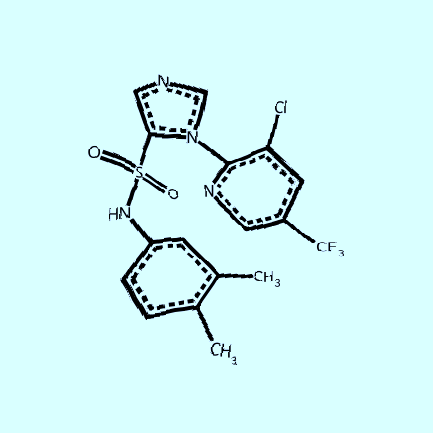 Cc1ccc(NS(=O)(=O)c2cncn2-c2ncc(C(F)(F)F)cc2Cl)cc1C